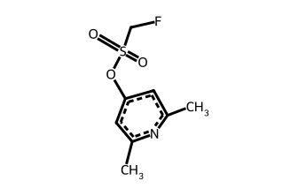 Cc1cc(OS(=O)(=O)CF)cc(C)n1